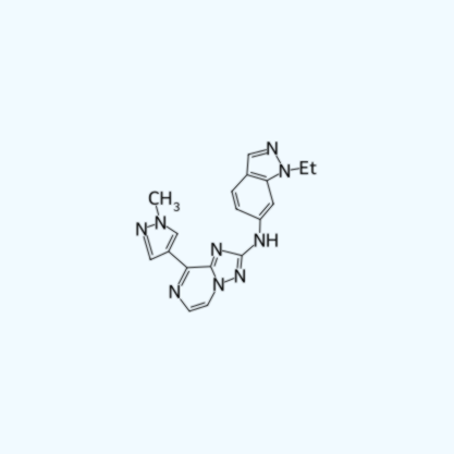 CCn1ncc2ccc(Nc3nc4c(-c5cnn(C)c5)nccn4n3)cc21